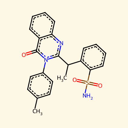 Cc1ccc(-n2c(C(C)c3ccccc3S(N)(=O)=O)nc3ccccc3c2=O)cc1